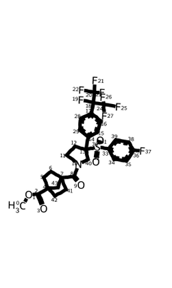 COC(=O)C12CCC(C(=O)N3CCC(c4ccc(C(F)(C(F)(F)F)C(F)(F)F)cc4)(S(=O)(=O)c4ccc(F)cc4)C3)(CC1)C2